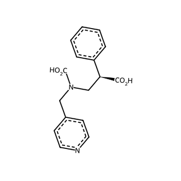 O=C(O)[C@@H](CN(Cc1ccncc1)C(=O)O)c1ccccc1